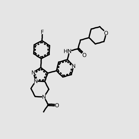 CC(=O)N1CCn2nc(-c3ccc(F)cc3)c(-c3ccnc(NC(=O)CC4CCOCC4)c3)c2C1